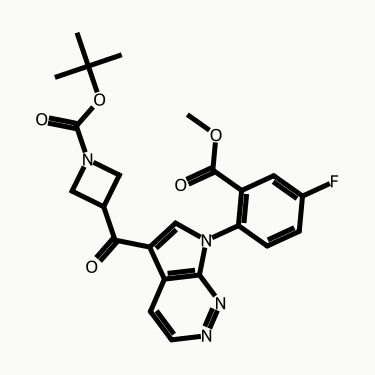 COC(=O)c1cc(F)ccc1-n1cc(C(=O)C2CN(C(=O)OC(C)(C)C)C2)c2ccnnc21